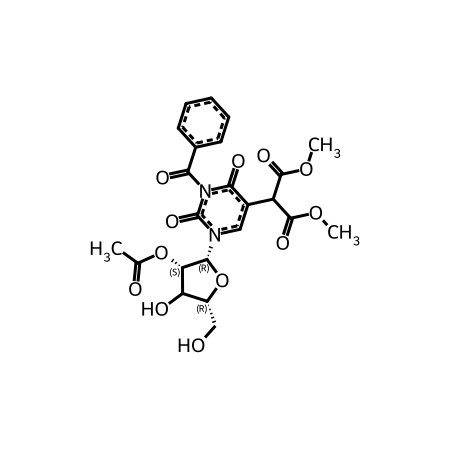 COC(=O)C(C(=O)OC)c1cn([C@@H]2O[C@H](CO)C(O)[C@@H]2OC(C)=O)c(=O)n(C(=O)c2ccccc2)c1=O